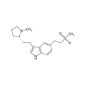 CN1CCC[C@H]1CCc1c[nH]c2ccc(CCS(C)(=O)=O)cc12